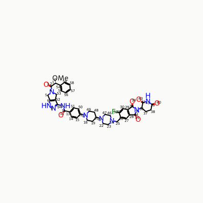 CO[C@@H](C(=O)N1Cc2[nH]nc(NC(=O)c3ccc(N4CCC(N5CCN(Cc6cc7c(cc6F)C(=O)N(C6CCC(=O)NC6=O)C7=O)CC5)CC4)cc3)c2C1)c1ccccc1